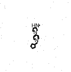 CN[C@@H]1CCN(C2=CCN(CC3CCCC3)C=C2)C1